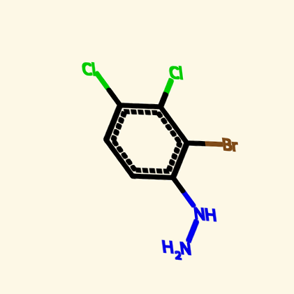 NNc1ccc(Cl)c(Cl)c1Br